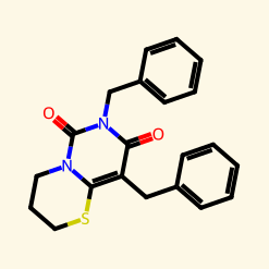 O=c1c(Cc2ccccc2)c2n(c(=O)n1Cc1ccccc1)CCCS2